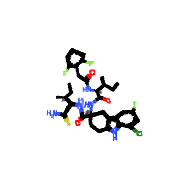 CCC(C)[C@H](NC(=O)Cc1c(F)cccc1F)C(=O)N[C@]1(C(=O)NC(C(N)=S)[C@@H](C)CC)CCc2[nH]c3c(Cl)cc(F)cc3c2C1